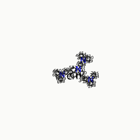 CC1(C)c2cc(N(c3ccc(-c4ccc5c6ccccc6n(-c6ccccc6)c5c4)cc3)c3ccc(-n4c5ccccc5c5ccccc54)cc3)ccc2-c2ccc(-n3c4ccccc4c4ccccc43)cc21